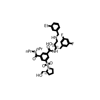 CCCN(CCC)C(=O)c1cc(C(=O)N[C@@H](Cc2cc(F)cc(F)c2)[C@H](O)CNCc2cccc(CC)c2)cc(S(=O)(=O)N2CCC[C@H]2CO)c1